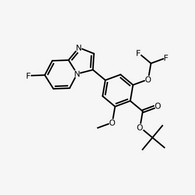 COc1cc(-c2cnc3cc(F)ccn23)cc(OC(F)F)c1C(=O)OC(C)(C)C